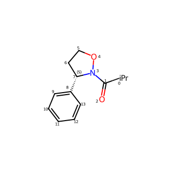 CC(C)C(=O)N1OCC[C@H]1c1ccccc1